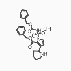 Cl.O=C(NS(=O)(=O)n1ccc(C2CCCCN2)c1C(=O)OCc1ccccc1)OCc1ccccc1